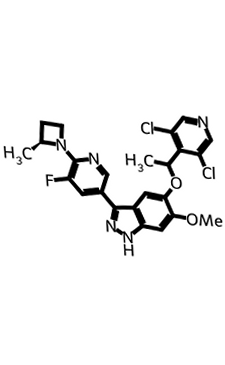 COc1cc2[nH]nc(-c3cnc(N4CC[C@@H]4C)c(F)c3)c2cc1OC(C)c1c(Cl)cncc1Cl